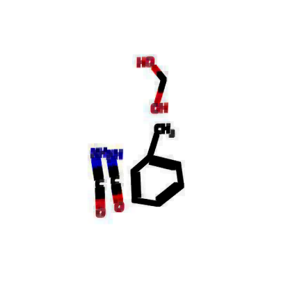 Cc1ccccc1.N=C=O.N=C=O.OCO